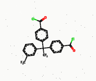 O=C(Cl)c1ccc(C(c2ccc(C(=O)Cl)cc2)(c2cccc(C(F)(F)F)c2)C(F)(F)F)cc1